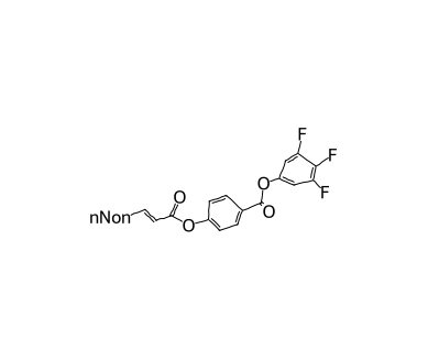 CCCCCCCCCC=CC(=O)Oc1ccc(C(=O)Oc2cc(F)c(F)c(F)c2)cc1